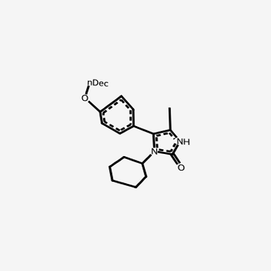 CCCCCCCCCCOc1ccc(-c2c(C)[nH]c(=O)n2C2CCCCC2)cc1